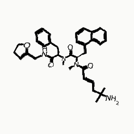 CN(C(=O)[C@@H](Cc1cccc2ccccc12)N(C)C(=O)C=CCC(C)(C)N)C(Cc1ccccc1)C(=O)NCC1CCCO1